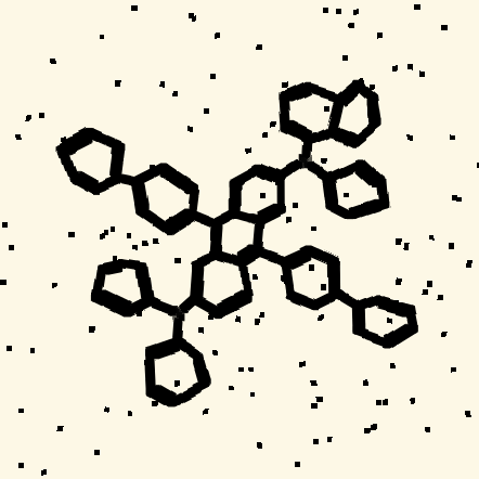 C1=C(c2ccccc2)CCC(c2c3cc(N(c4ccccc4)c4cccc5ccccc45)ccc3c(-c3ccc(-c4ccccc4)cc3)c3cc(N(c4ccccc4)c4ccccc4)ccc23)=C1